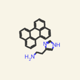 NCCc1c[nH]cn1.c1cc2cccc3c4cccc5cccc(c(c1)c23)c54